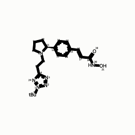 CC(C)(C)n1nnc(CCN2CCC[C@H]2c2ccc(/C=C/C(=O)NO)cc2)n1